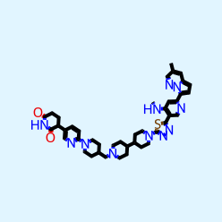 CNc1cc(-c2ccc3cc(C)cnn23)ncc1-c1nnc(N2CCC(C3CCN(CC4CCN(c5ccc(C6CCC(=O)NC6=O)cn5)CC4)CC3)CC2)s1